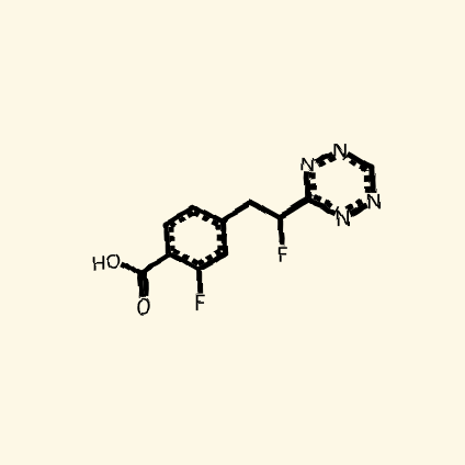 O=C(O)c1ccc(CC(F)c2nncnn2)cc1F